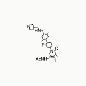 CC(=O)NC[C@H]1CN(c2ccc(-c3cc(C)c(CNCc4ccncc4)cc3C)c(F)c2)C(=O)C2C[C@@H]21